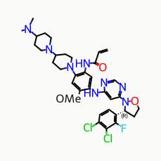 C=CC(=O)Nc1cc(Nc2cc(N3OCC[C@@H]3c3ccc(Cl)c(Cl)c3F)ncn2)c(OC)cc1N1CCC(N2CCC(N(C)C)CC2)CC1